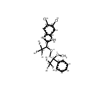 CO[C@@](COC(c1nc2cc(Cl)c(Cl)cc2[nH]1)C(F)(F)F)(c1ccccc1)C(F)(F)F